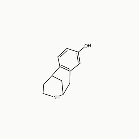 Oc1ccc2c(c1)CC1CC2CCN1